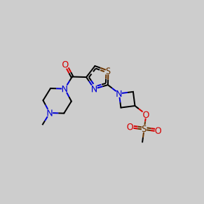 CN1CCN(C(=O)c2csc(N3CC(OS(C)(=O)=O)C3)n2)CC1